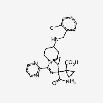 NC(=O)C(N=C(c1ncccn1)N1CCC(NCc2ccccc2Cl)CC1)(C1CC1)C1(C(=O)O)CC1